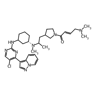 CC(CC1CCN(C(=O)/C=C/CN(C)C)C1)N(C)[C@H]1CCCC(Nc2ncc(Cl)c(-c3cnn4ccccc34)n2)C1